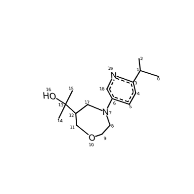 CC(C)c1ccc(N2CCOCC(C(C)(C)O)C2)cn1